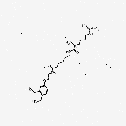 N=C(N)NCCCC[C@H](N)C(=O)NCCCCCC(=O)NCCOc1ccc(CS)c(CS)c1